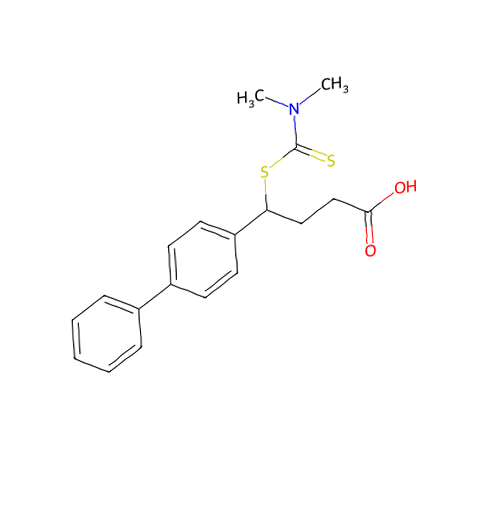 CN(C)C(=S)SC(CCC(=O)O)c1ccc(-c2ccccc2)cc1